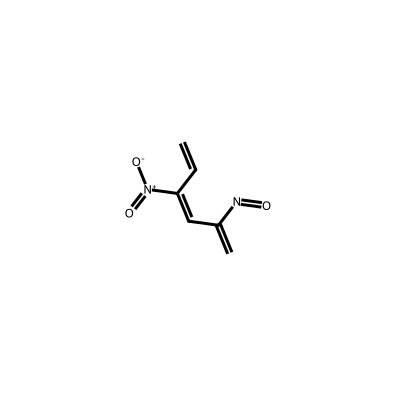 C=C/C(=C\C(=C)N=O)[N+](=O)[O-]